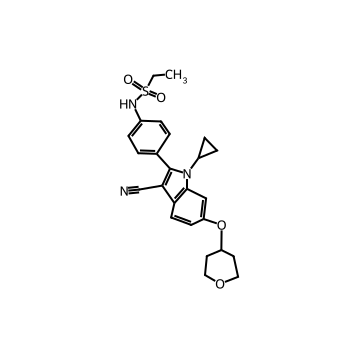 CCS(=O)(=O)Nc1ccc(-c2c(C#N)c3ccc(OC4CCOCC4)cc3n2C2CC2)cc1